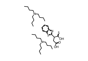 CCCCN(CCCC)CCCC.CCCCN(CCCC)CCCC.O=C(O)CC(C(O)=S)c1nc2ccccc2s1